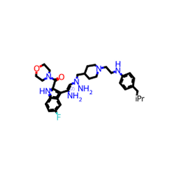 CC(C)Cc1ccc(NCCN2CCC(CN(N)/C=C(\N)c3c(C(=O)N4CCOCC4)[nH]c4ccc(F)cc34)CC2)cc1